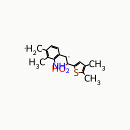 [CH2]c1ccc([CH]C(O)c2cc(C)c(C)s2)c(N)c1C